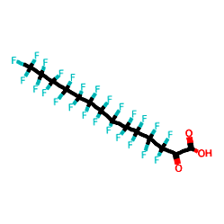 O=C(O)C(=O)C(F)(F)C(F)(F)C(F)(F)C(F)(F)C(F)(F)C(F)(F)C(F)(F)C(F)(F)C(F)(F)C(F)(F)C(F)(F)C(F)(F)F